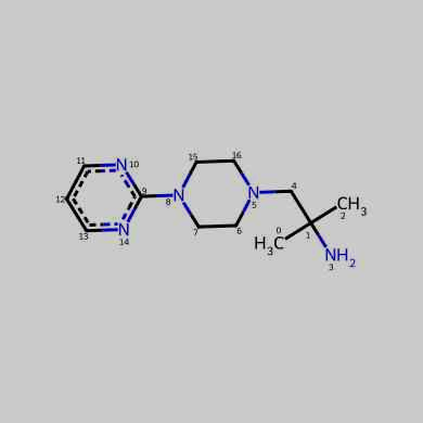 CC(C)(N)CN1CCN(c2ncccn2)CC1